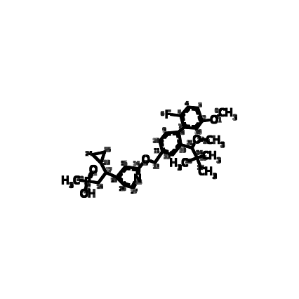 COc1ccc(F)c(-c2ccc(COc3cc(C(CP(C)(=O)O)C4CC4)ccn3)cc2C(OC)C(C)(C)C)c1